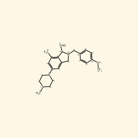 CN1CCN(c2cc3c(c(C(F)(F)F)c2)C(C=O)N(Cc2ccc(OC(F)(F)F)cc2)C3)CC1